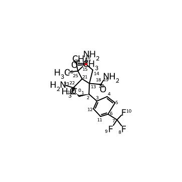 CC[C@H](c1ccc(C(F)(F)F)cc1)C(CC(N)=O)(C(N)=O)C(C(N)=O)C(C)(C)C